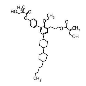 C=C(CO)C(=O)OCCCc1cc(C2CCC(C3CCC(CCCCC)CC3)CC2)cc(-c2ccc(OC(=O)C(=C)CO)cc2)c1OCC